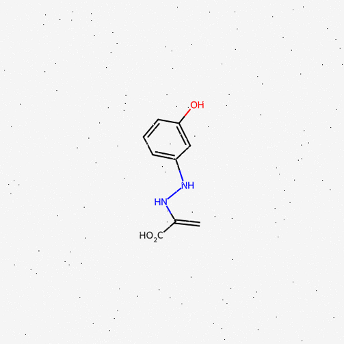 C=C(NNc1cccc(O)c1)C(=O)O